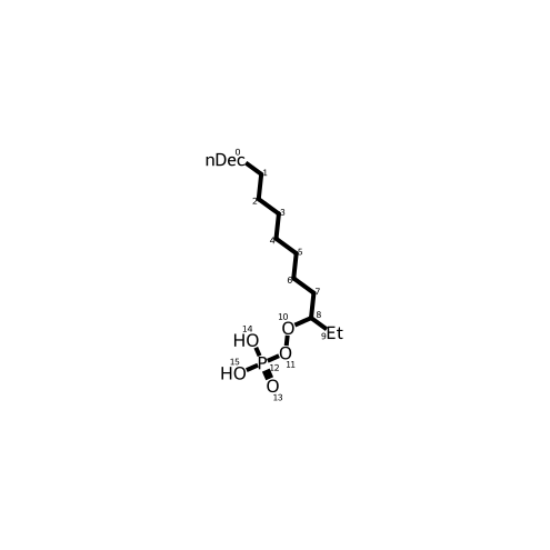 CCCCCCCCCCCCCCCCCC(CC)OOP(=O)(O)O